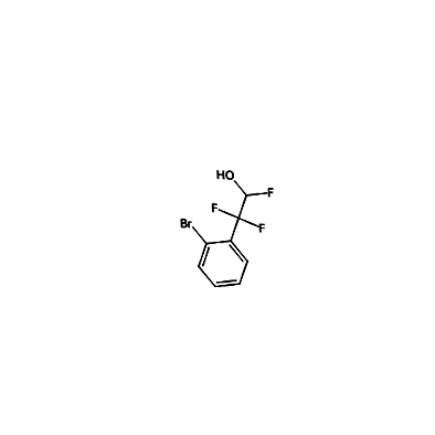 OC(F)C(F)(F)c1ccccc1Br